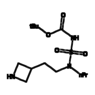 CCCN(CCC1CNC1)S(=O)(=O)NC(=O)OC(C)(C)C